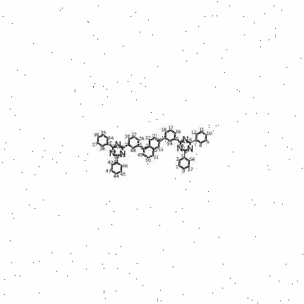 c1ccc(-c2nc(-c3ccccc3)nc(-c3cccc(-c4ccc5c(-c6cccc(-c7nc(-c8ccccc8)nc(-c8ccccc8)n7)c6)cccc5c4)c3)n2)cc1